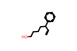 C=CC(CCCCO)c1ccccc1